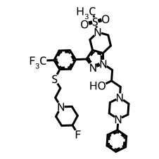 CS(=O)(=O)N1CCc2c(c(-c3ccc(C(F)(F)F)c(SCCN4CCC(F)CC4)c3)nn2CC(O)CN2CCN(c3ccccc3)CC2)C1